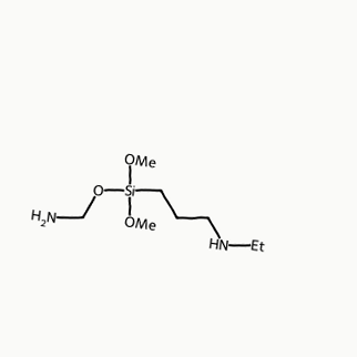 CCNCCC[Si](OC)(OC)OCN